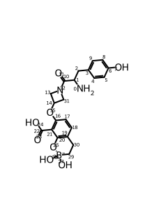 NC(Cc1ccc(O)cc1)C(=O)N1CC(Oc2ccc3c(c2C(=O)O)O[B-](O)(O)CC3)C1